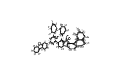 c1ccc(-c2nc(-c3ccc4c(c3)oc3ccccc34)nc(-c3ccc4c([se]c5c4ccc4ccc6ccccc6c45)c3-c3ccccc3)n2)cc1